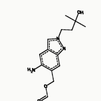 CC(C)(O)CCn1cc2cc(N)c(COC=O)cc2n1